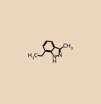 CCc1c[c]cc2c(C)n[nH]c12